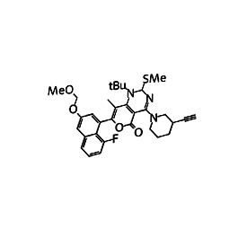 C#CC1CCCN(C2=NC(SC)N(C(C)(C)C)c3c(C)c(-c4cc(OCOC)cc5cccc(F)c45)oc(=O)c32)C1